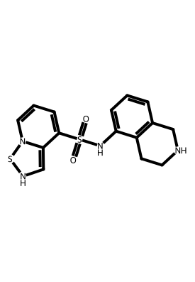 O=S(=O)(Nc1cccc2c1CCNC2)C1=CC=CN2SNC=C12